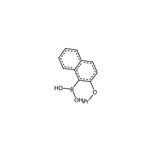 CC(C)Oc1ccc2ccccc2c1B(O)O